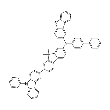 CC1(C)c2cc(-c3ccc4c(c3)c3ccccc3n4-c3ccccc3)ccc2-c2ccc(N(c3ccc(-c4ccccc4)cc3)c3ccc4sc5ccccc5c4c3)cc21